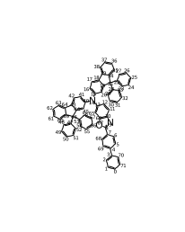 c1ccc(-c2ccc(-c3nc4ccc(N(c5ccc6c(c5)C(c5ccccc5)(c5ccccc5)c5ccccc5-6)c5ccc6c(c5)C(c5ccccc5)(c5ccccc5)c5ccccc5-6)cc4o3)cc2)cc1